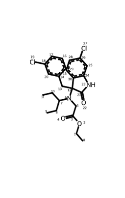 CCOC(=O)CN(C(CC)CC)C1(Cc2cccc(Cl)c2)C(=O)Nc2cc(Cl)ccc21